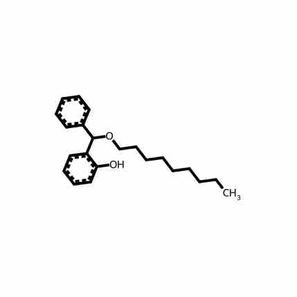 CCCCCCCCCOC(c1ccccc1)c1ccccc1O